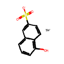 O=S(=O)([O-])c1ccc2c(O)cccc2c1.[Na+]